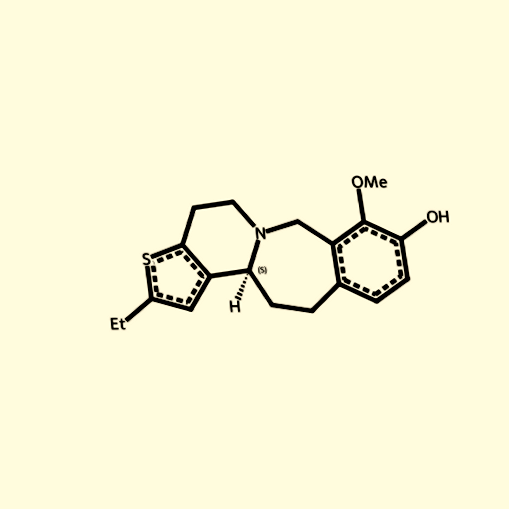 CCc1cc2c(s1)CCN1Cc3c(ccc(O)c3OC)CC[C@@H]21